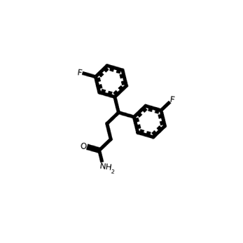 NC(=O)CCC(c1cccc(F)c1)c1cccc(F)c1